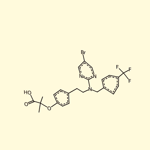 CC(C)(Oc1ccc(CCN(Cc2ccc(C(F)(F)F)cc2)c2ncc(Br)cn2)cc1)C(=O)O